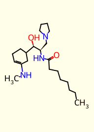 CCCCCCCC(=O)N[C@H](CN1CCCC1)[C@H](O)C1CCC=C(NC)C1